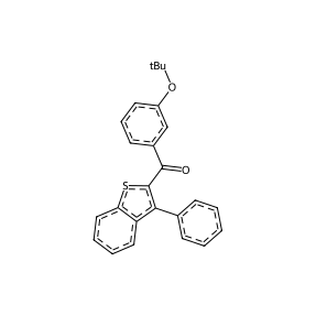 CC(C)(C)Oc1cccc(C(=O)c2sc3ccccc3c2-c2ccccc2)c1